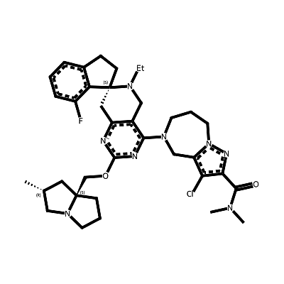 CCN1Cc2c(nc(OC[C@@]34CCCN3C[C@H](C)C4)nc2N2CCCn3nc(C(=O)N(C)C)c(Cl)c3C2)C[C@]12CCc1cccc(F)c12